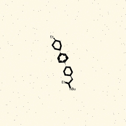 CCCCC(CC)C[C@H]1CC[C@H](c2ccc([C@H]3CC[C@H](CC)CC3)cc2)CC1